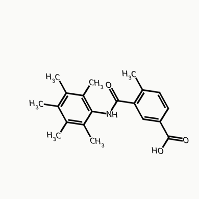 Cc1ccc(C(=O)O)cc1C(=O)Nc1c(C)c(C)c(C)c(C)c1C